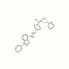 CN(CCc1ccccn1)C(=O)c1ccc(/C=N/Nc2ncnc3c2cnn3-c2ccccc2)cc1